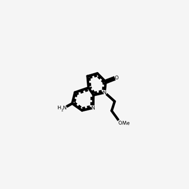 COCCn1c(=O)ccc2cc(N)cnc21